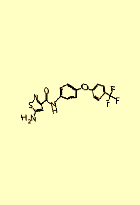 Nc1cc(C(=O)Nc2ccc(Oc3ccc(C(F)(F)F)cc3)cc2)ns1